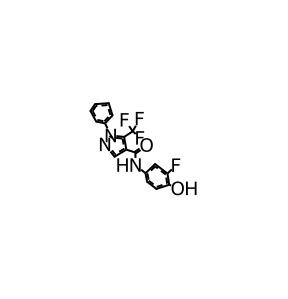 O=C(Nc1ccc(O)c(F)c1)c1cnn(-c2ccccc2)c1C(F)(F)F